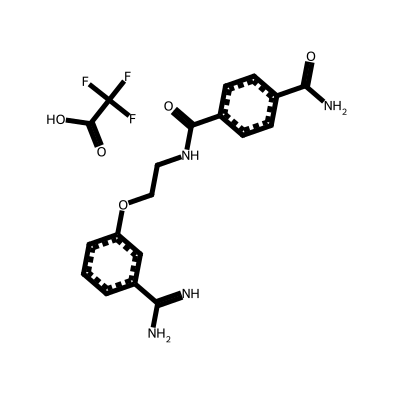 N=C(N)c1cccc(OCCNC(=O)c2ccc(C(N)=O)cc2)c1.O=C(O)C(F)(F)F